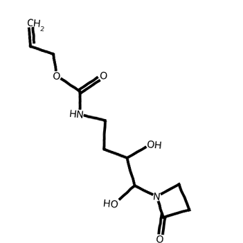 C=CCOC(=O)NCCC(O)C(O)N1CCC1=O